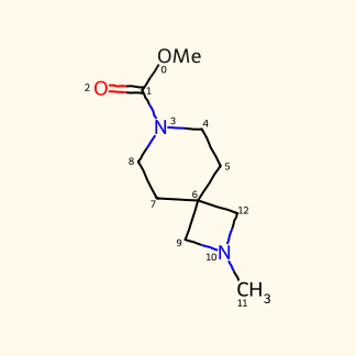 COC(=O)N1CCC2(CC1)CN(C)C2